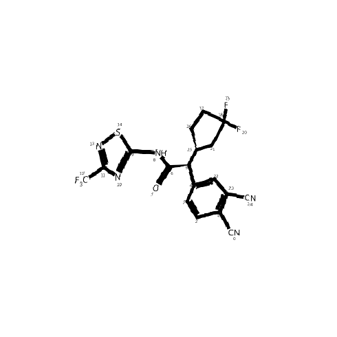 N#Cc1ccc([C@@H](C(=O)Nc2nc(C(F)(F)F)ns2)[C@H]2CCC(F)(F)C2)cc1C#N